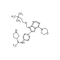 C[Si](C)(C)CCOCn1c(-c2ccc(NC([C@H]3CCNC3)C(F)(F)F)cc2)cc2c(N3CCOCC3)ncnc21